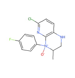 CC1CNc2ccc(Cl)nc2[N+]1([O-])c1ccc(F)cc1